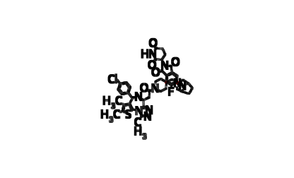 Cc1sc2c(c1C)C(c1ccc(Cl)cc1)=N[C@@H](CC(=O)N1CCC(CN3CC4CCC(C3)N4c3cc4c(cc3F)C(=O)N(C3CCC(=O)NC3=O)C4=O)CC1)c1nnc(C)n1-2